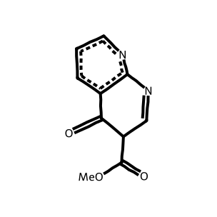 COC(=O)C1C=Nc2ncccc2C1=O